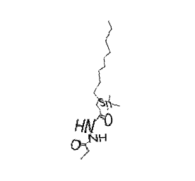 CCCCCCCCC[CH](CC(=O)NNC(=O)CC)[Sn]([CH3])([CH3])[CH3]